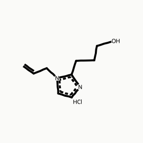 C=CCn1ccnc1CCCO.Cl